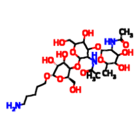 CC(=O)NC1C(O[C@@H]2[C@H](O)[C@@H](O)[C@@H](OCCCCCN)O[C@@H]2CO)OC(CO)C(O)C1O[C@H]1OC(C)C(O)C(O)C1NC(C)=O